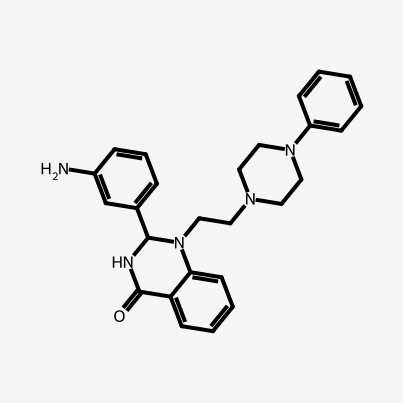 Nc1cccc(C2NC(=O)c3ccccc3N2CCN2CCN(c3ccccc3)CC2)c1